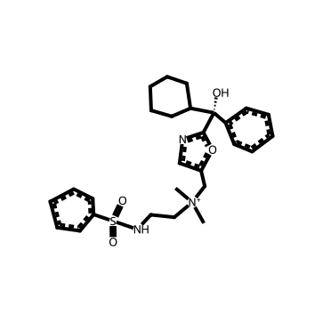 C[N+](C)(CCNS(=O)(=O)c1ccccc1)Cc1cnc([C@](O)(c2ccccc2)C2CCCCC2)o1